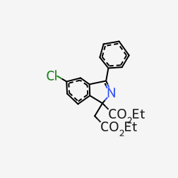 CCOC(=O)CC1(C(=O)OCC)N=C(c2ccccc2)c2cc(Cl)ccc21